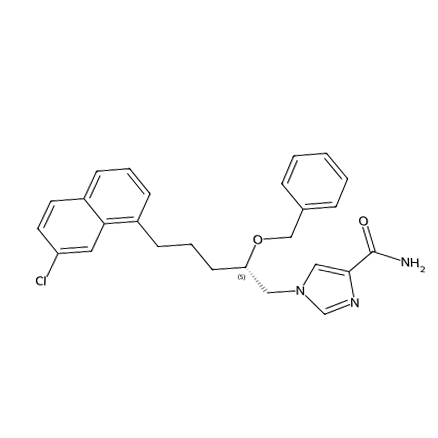 NC(=O)c1cn(C[C@H](CCCc2cccc3ccc(Cl)cc23)OCc2ccccc2)cn1